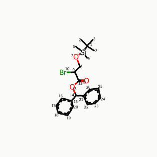 CC(C)(C)[Si](C)(C)OCC(Br)C(=O)OC(c1ccccc1)c1ccccc1